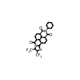 O=C1c2ccc3c(=O)n4c(C(F)(F)F)c(C(F)(F)F)nc4c4ccc(c2c34)C(=O)N1c1ccccc1